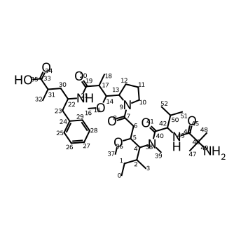 CCC(C)C(C(CC(=O)N1CCCC1C(OC)C(C)C(=O)NC(Cc1ccccc1)CC(C)C(=O)O)OC)N(C)C(=O)C(NC(=O)C(C)(C)N)C(C)C